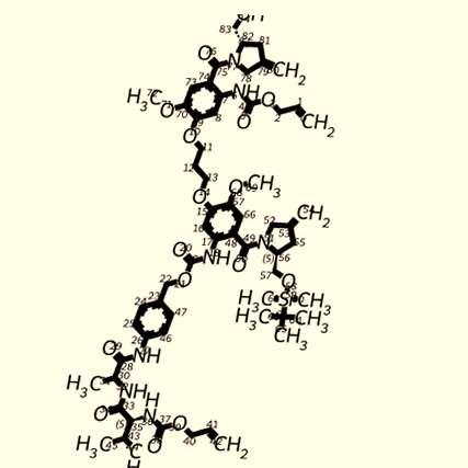 C=CCOC(=O)Nc1cc(OCCCOc2cc(NC(=O)OCc3ccc(NC(=O)C(C)NC(=O)[C@@H](NC(=O)OCC=C)C(C)C)cc3)c(C(=O)N3CC(=C)C[C@H]3CO[Si](C)(C)C(C)(C)C)cc2OC)c(OC)cc1C(=O)N1CC(=C)C[C@H]1CO